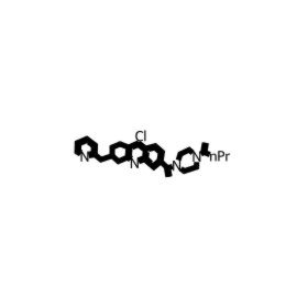 C=C(CCC)N1CCN(C(=C)c2ccc3c(Cl)c4c(nc3c2)CC(Cc2ccccn2)CC4)CC1